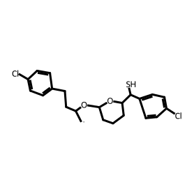 [CH2]C(CCc1ccc(Cl)cc1)OC1CCCC(C(S)c2ccc(Cl)cc2)O1